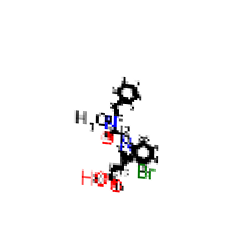 CN(CCc1ccccc1)C(=O)Cn1cc(C=CC(=O)O)c2c(Br)cccc21